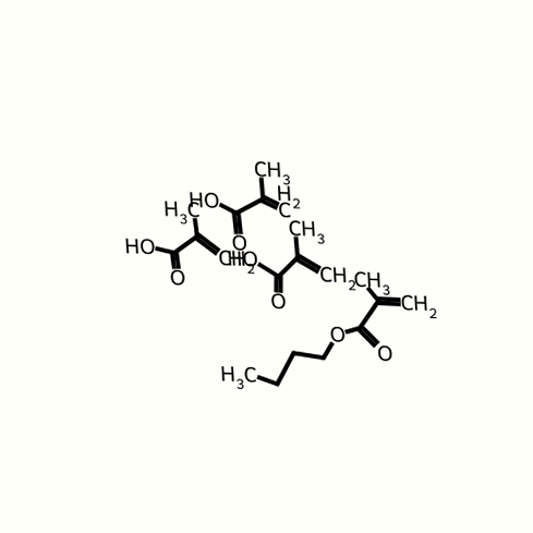 C=C(C)C(=O)O.C=C(C)C(=O)O.C=C(C)C(=O)O.C=C(C)C(=O)OCCCC